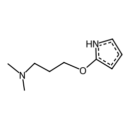 CN(C)CCCOc1ccc[nH]1